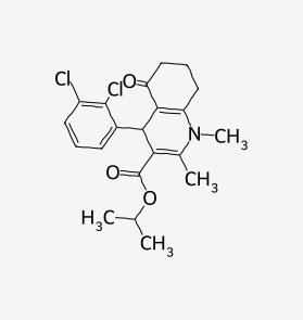 CC1=C(C(=O)OC(C)C)C(c2cccc(Cl)c2Cl)C2=C(CCCC2=O)N1C